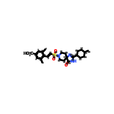 Cc1cc(C(=O)O)cc(C)c1C=CS(=O)(=O)N1CCC2(CC1)N=C(C1CCC(C)CC1)NC2=O